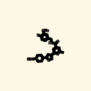 COc1cc(CNC(=O)c2cc(C3=NOC(C4CCN(C=O)CC4)C3)nc(C)n2)ccc1F